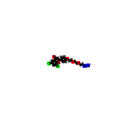 [N-]=[N+]=NCCOCCOCCOc1ccc(-c2cc(=O)c3cc(Cl)cc(Cl)c3o2)cc1